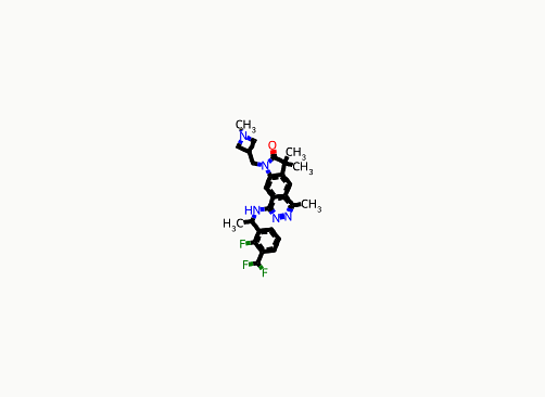 Cc1nnc(NC(C)c2cccc(C(F)F)c2F)c2cc3c(cc12)C(C)(C)C(=O)N3CC1CN(C)C1